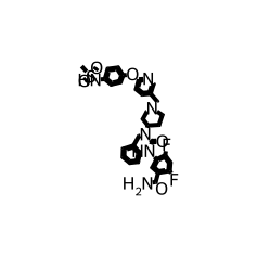 CS(=O)(=O)Nc1ccc(Oc2ccc(CN3CCC(N(Cc4ccccc4)C(=O)Nc4cc(C(N)=O)c(F)cc4F)CC3)cn2)cc1